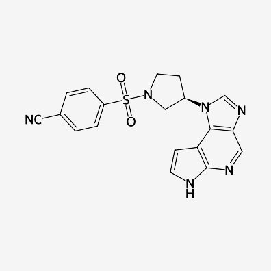 N#Cc1ccc(S(=O)(=O)N2CC[C@@H](n3cnc4cnc5[nH]ccc5c43)C2)cc1